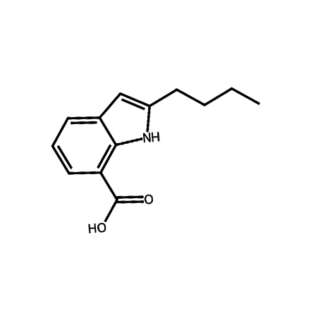 CCCCc1cc2cccc(C(=O)O)c2[nH]1